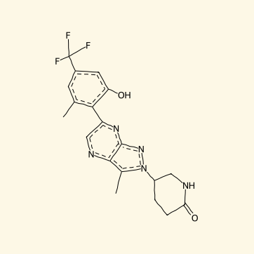 Cc1cc(C(F)(F)F)cc(O)c1-c1cnc2c(C)n(C3CCC(=O)NC3)nc2n1